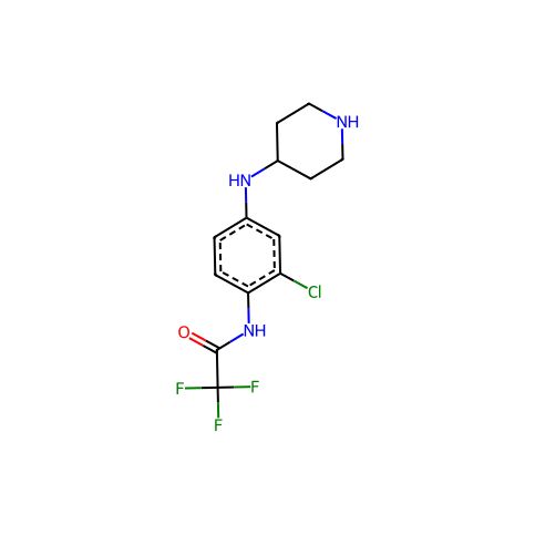 O=C(Nc1ccc(NC2CCNCC2)cc1Cl)C(F)(F)F